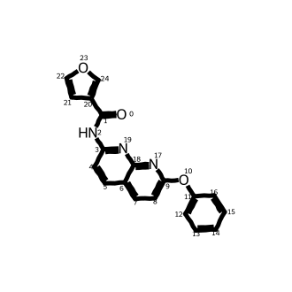 O=C(Nc1ccc2ccc(Oc3ccccc3)nc2n1)c1ccoc1